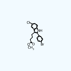 COC(=O)CCCc1c(-c2ccc(Br)cc2)[nH]c2ccc(Cl)cc12